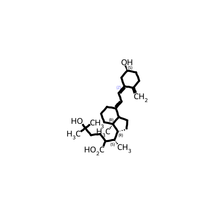 C=C1CC[C@H](O)C/C1=C/C=C1CCC[C@@]2(C)C1CC[C@@H]2[C@H](C)C(CCC(C)(C)O)C(=O)O